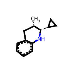 C[C@H]1Cc2ccccc2N[C@H]1C1CC1